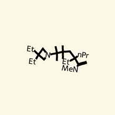 C=C(NC)C(CC)(CCC)CC(C)(C)C(C)(C)N1CC(CC)(CC)C1